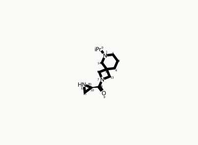 CC(C)N1CCCC2(CN(C(=O)[C@H]3CN3)C2)C1